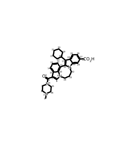 CN1CCN(C(=O)c2cn3c4c(cccc24)-c2c(C4CCCCC4)c4ccc(C(=O)O)cc4n2CCC3)CC1